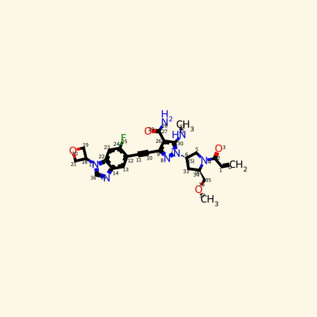 C=CC(=O)N1C[C@@H](n2nc(C#Cc3cc4ncn(C5COC5)c4cc3F)c(C(N)=O)c2NC)C[C@@H]1COC